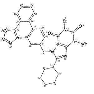 CCCn1c(=O)n(CC)c(=O)c2c1nc(C1CCCCC1)n2Cc1ccc(-c2ccccc2-c2nnn[nH]2)cc1